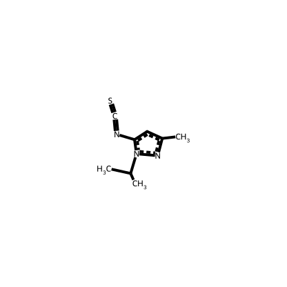 Cc1cc(N=C=S)n(C(C)C)n1